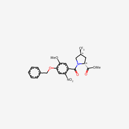 COC(=O)[C@H]1C[C@H](C(F)(F)F)CN1C(=O)c1cc(OC)c(OCc2ccccc2)cc1[N+](=O)[O-]